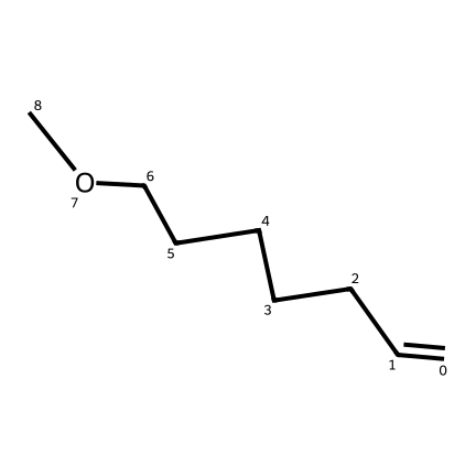 C=CCCCCCOC